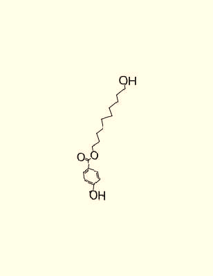 O=C(OCCCCCCCCCCO)c1ccc(O)cc1